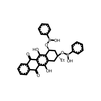 CC[C@]1(OB(O)c2ccccc2)Cc2c(O)c3c(c(O)c2[C@@H](OB(O)c2ccccc2)C1)C(=O)c1ccccc1C3=O